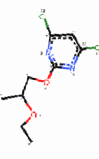 CCOC(C)COc1nc(Cl)cc(Cl)n1